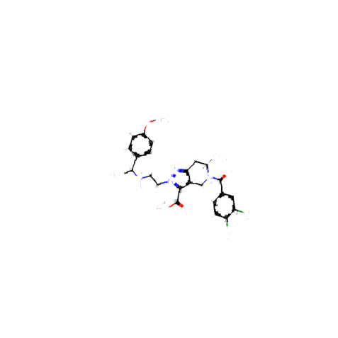 COc1ccc(C(C)NCCn2nc3c(c2C(=O)O)CN(C(=O)c2ccc(Cl)c(Cl)c2)[C@H](C)C3)cc1